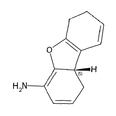 NC1=C2OC3=C(C=CCC3)[C@@H]2CC=C1